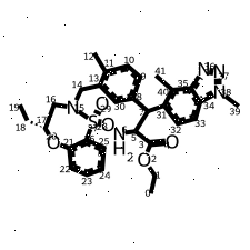 CCOC(=O)C(N)C(c1ccc(C)c(CN2C[C@@H](CC)Oc3ccccc3S2(=O)=O)c1)c1ccc2c(nnn2C)c1C